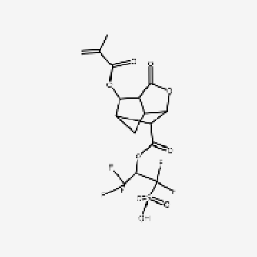 C=C(C)C(=O)OC1C2CC3C(OC(=O)C31)C2C(=O)OC(C(F)(F)F)C(F)(F)S(=O)(=O)O